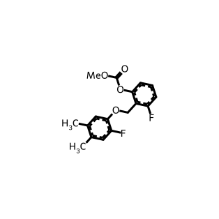 COC(=O)Oc1cccc(F)c1COc1cc(C)c(C)cc1F